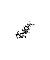 C=Nc1nc(Cl)c(C2(C#N)CC2)cc1/C(=N\C)N[C@H](C)c1cccc(C(F)(F)[C@H](C)O)c1F